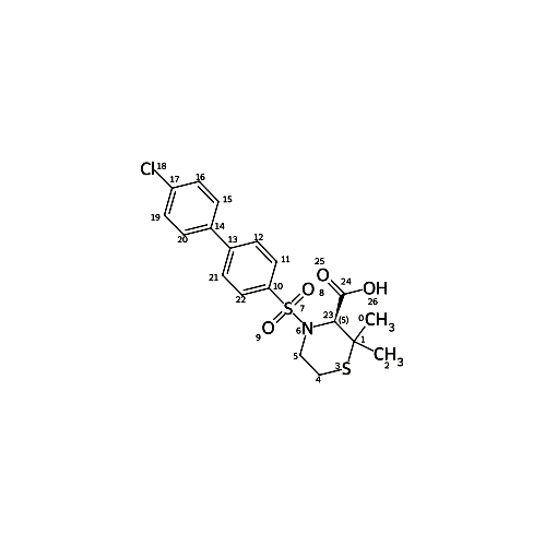 CC1(C)SCCN(S(=O)(=O)c2ccc(-c3ccc(Cl)cc3)cc2)[C@H]1C(=O)O